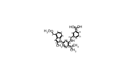 COCc1cccc2c1cc(C)n2-c1nnc(N(C)C)c(NCc2cccc(B(O)O)c2)n1